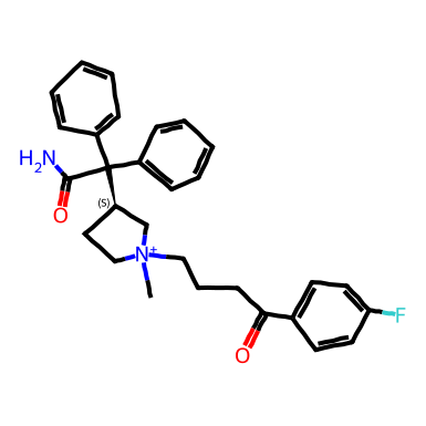 C[N+]1(CCCC(=O)c2ccc(F)cc2)CC[C@@H](C(C(N)=O)(c2ccccc2)c2ccccc2)C1